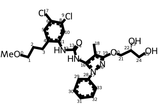 COCCCc1cc(Cl)c(Cl)cc1NC(=O)Nc1c(C)c(OC[C@H](O)CO)nn1-c1ccccc1